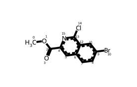 COC(=O)c1cc2ccc(Br)cc2c(Cl)n1